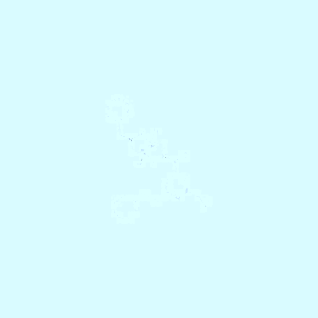 O=C(c1cc(OCC2CCOCC2)nc(C2CC2)c1)N1C[C@@H]2CN(Cc3ccccc3)C[C@H]2C1